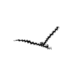 CCCCCCCCC=CCCCCCCCC(=O)CC(CCCC(=O)O)C(=O)CCCCCCCC=CCCCCCCCC